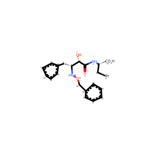 CC(C)C[C@H](NC(=O)[C@@H](O)[C@@H](Cc1ccccc1)NOCc1ccccc1)C(=O)O